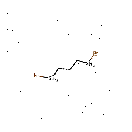 Br[SiH2]CCC[SiH2]Br